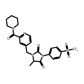 CC1C(=O)N(c2ccc(S(=O)(=O)C(F)(F)F)cc2)C(=O)N1Cc1ccnc(C(=O)N2CCCCC2)c1